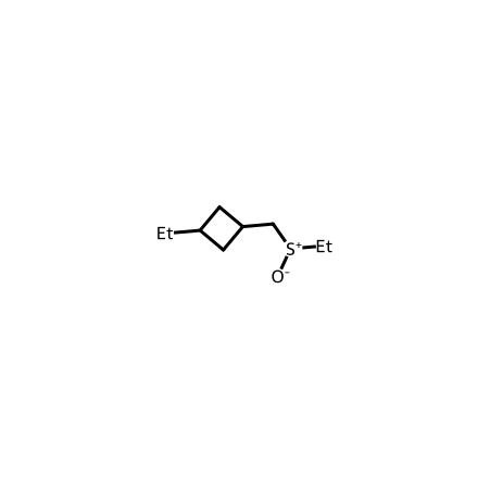 CCC1CC(C[S+]([O-])CC)C1